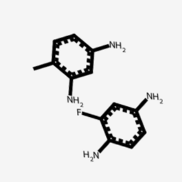 Cc1ccc(N)cc1N.Nc1ccc(N)c(F)c1